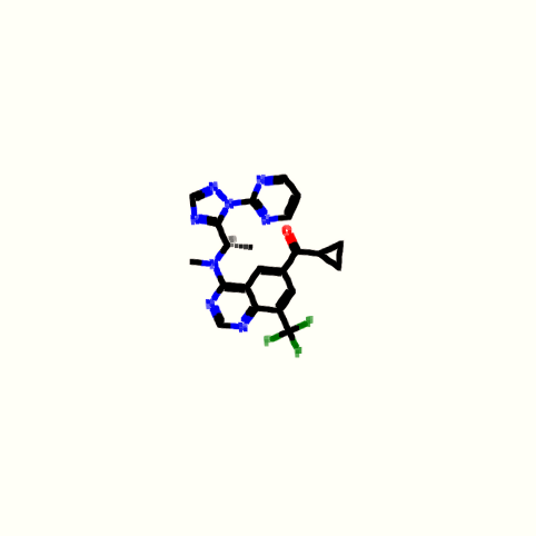 C[C@@H](c1ncnn1-c1ncccn1)N(C)c1ncnc2c(C(F)(F)F)cc(C(=O)C3CC3)cc12